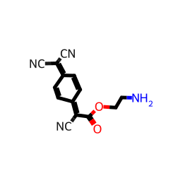 N#CC(C#N)=c1ccc(=C(C#N)C(=O)OCCN)cc1